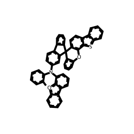 Cc1ccccc1N(c1ccc2c(c1)C1(c3ccccc3Oc3c1ccc1c3sc3ccccc31)c1ccccc1-2)c1cccc2c1oc1ccccc12